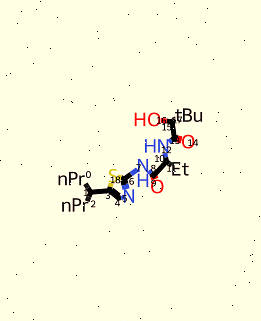 CCCC(CCC)c1cnc(NC(=O)C(CC)NC(=O)C(O)C(C)(C)C)s1